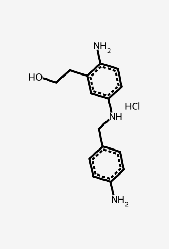 Cl.Nc1ccc(CNc2ccc(N)c(CCO)c2)cc1